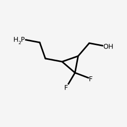 OCC1C(CCP)C1(F)F